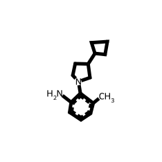 Cc1cccc(N)c1N1CCC(C2CCC2)C1